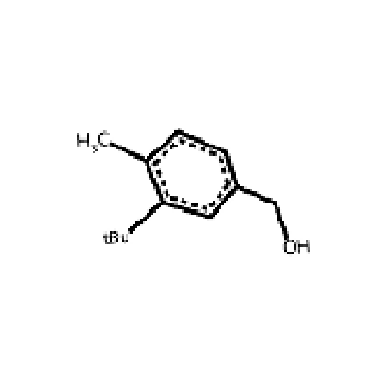 Cc1ccc(CO)cc1C(C)(C)C